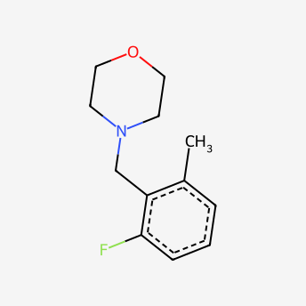 Cc1cccc(F)c1CN1CCOCC1